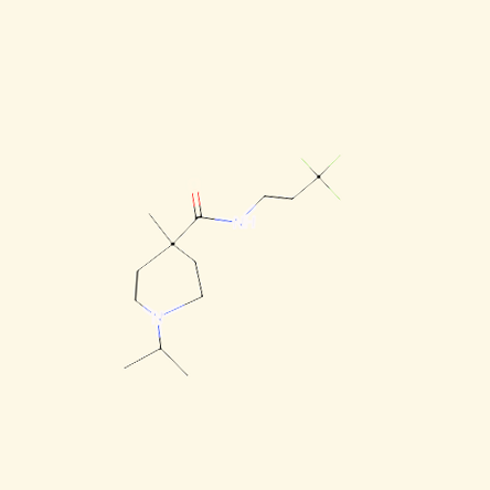 CC(C)N1CCC(C)(C(=O)NCCC(F)(F)F)CC1